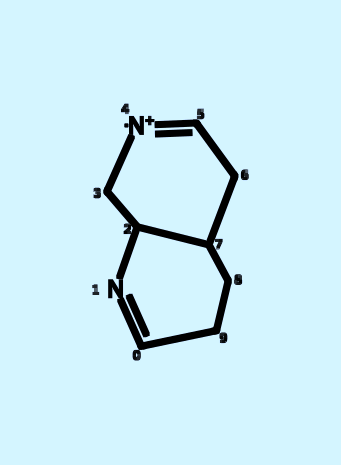 C1=NC2C[N+]=CCC2CC1